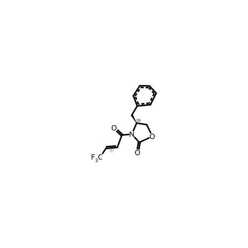 O=C(/C=C/C(F)(F)F)N1C(=O)OC[C@@H]1Cc1ccccc1